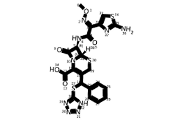 CON=C(C(=O)N[C@@H]1C(=O)N2C(C(=O)O)=C(C(Sc3nnn[nH]3)c3ccccc3)CS[C@@H]12)c1csc(N)n1